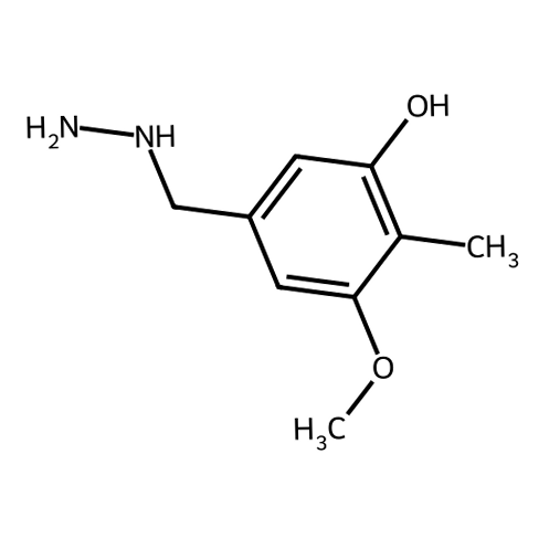 COc1cc(CNN)cc(O)c1C